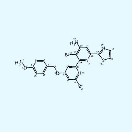 COc1ccc(COc2cc(Br)nc(-c3nc(-c4nccs4)cc(N)c3Br)c2)cc1